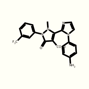 CCOC(=O)c1c(-c2nccn2-c2ccc(N)cc2)n(C)n(-c2cccc(C(F)(F)F)c2)c1=O